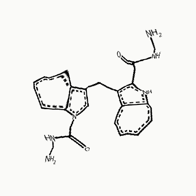 NNC(=O)c1[nH]c2ccccc2c1Cc1cn(C(=O)NN)c2ccccc12